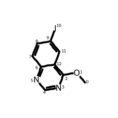 COc1ncnc2ccc(I)cc12